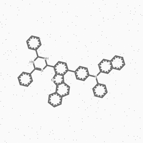 c1ccc(C2=NC(c3ccc(-c4ccc(N(c5ccccc5)c5ccc6ccccc6c5)cc4)c4c3oc3c5ccccc5ccc34)NC(c3ccccc3)N2)cc1